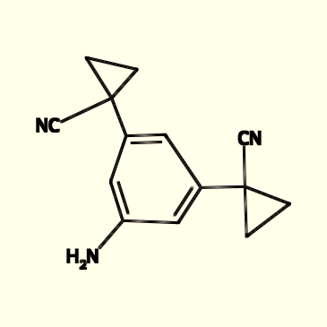 N#CC1(c2cc(N)cc(C3(C#N)CC3)c2)CC1